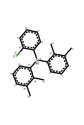 Cc1cccc([SiH](c2ccccc2Cl)c2cccc(C)c2C)c1C